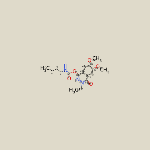 CCCCNC(=O)Oc1nn(CC)c(=O)c2cc(OC)c(OC)cc12